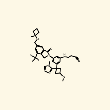 COC1CC(c2cc(NCCC#N)cc(N3Cc4c(cc(CNC5(C)CCC5)cc4C(F)(F)F)C3=O)c2)(c2nncn2C)C1